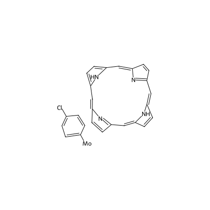 C1=Cc2cc3ccc(cc4nc(cc5ccc(cc1n2)[nH]5)C=C4)[nH]3.Clc1cc[c]([Mo])cc1